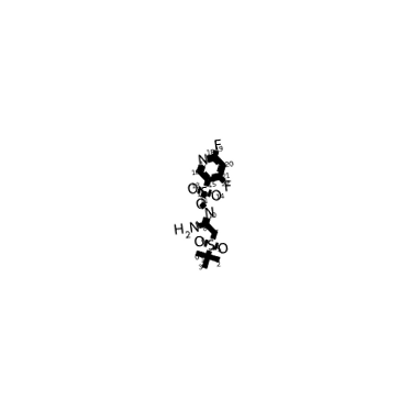 CC(C)(C)S(=O)(=O)CC(N)=NOS(=O)(=O)c1cnc(F)cc1F